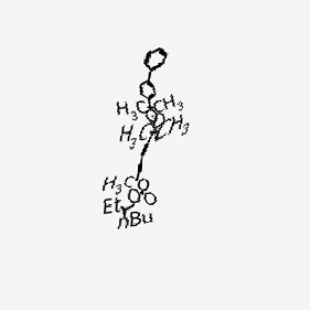 CCCCC(CC)COC(=O)OC(C)C#CC#CC(C)(C)OOC(C)(C)c1ccc(-c2ccccc2)cc1